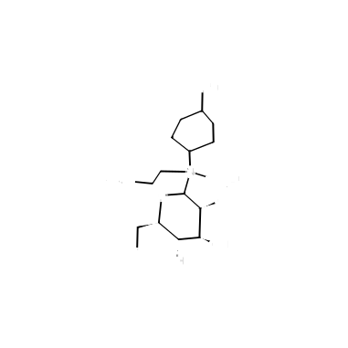 CCCCCCCCCCCC[N+](C(=O)OCC)(C1CCC(C(C)(C)C)CC1)C1O[C@H](CO)[C@@H](O)[C@H](O)[C@@H]1O